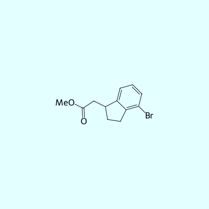 COC(=O)CC1CCc2c(Br)cccc21